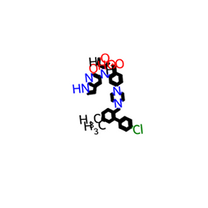 CC1(C)CCC(CN2CCN(c3ccc(C(=O)O)c(N4c5cc6cc[nH]c6nc5O[C@H]5COC[C@@H]54)c3)CC2)=C(c2ccc(Cl)cc2)C1